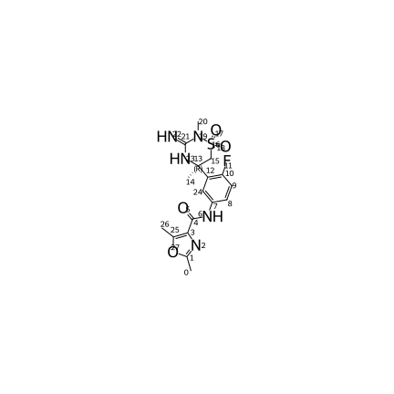 Cc1nc(C(=O)Nc2ccc(F)c([C@]3(C)CS(=O)(=O)N(C)C(=N)N3)c2)c(C)o1